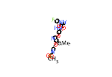 COc1cc2c(Oc3ccc(NC(=O)C4(C(=O)Nc5ccc(F)cc5)CC4)cc3)ccnc2cc1OCC1CCN(CCS(C)(=O)=O)CC1